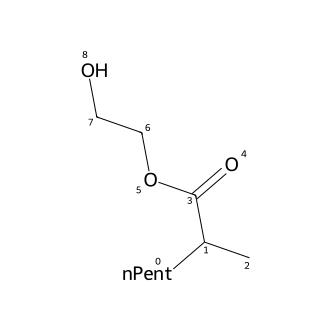 CCCCCC(C)C(=O)OCCO